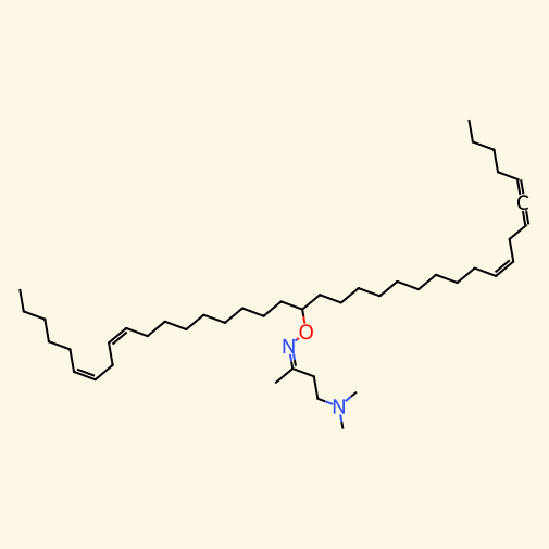 CCCCC=C=CC/C=C\CCCCCCCCCC(CCCCCCCC/C=C\C/C=C\CCCCC)ON=C(C)CCN(C)C